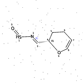 O=[SH]/N=C/[C@@H]1CCC=CO1